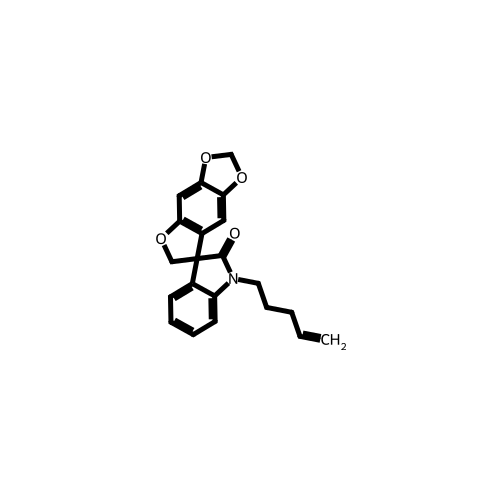 C=CCCCN1C(=O)C2(COc3cc4c(cc32)OCO4)c2ccccc21